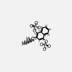 Cc1cc(OP(=O)([O-])[O-])c2ccccc2c1OP(=O)([O-])[O-].[Na+].[Na+].[Na+].[Na+]